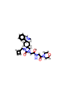 CN(C)[C@]1(c2ccccc2)CC[C@@]2(CC1)CN(CC(=O)NCC(=O)N1CCOCC1)C(=O)N2CC1CCC1